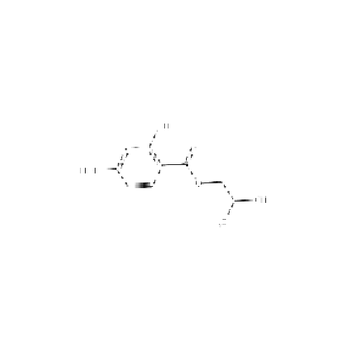 CC(C)COC(=O)c1ccc(N)cc1O